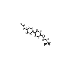 CCCC1CCC(C2CCC(OCCC(F)F)CC2)CC1